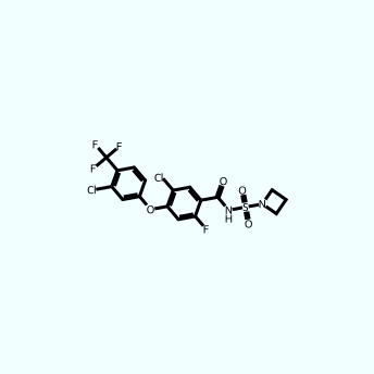 O=C(NS(=O)(=O)N1CCC1)c1cc(Cl)c(Oc2ccc(C(F)(F)F)c(Cl)c2)cc1F